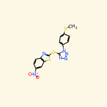 CSc1ccc(-n2nnnc2Sc2nc3ccc([N+](=O)[O-])cc3s2)cc1